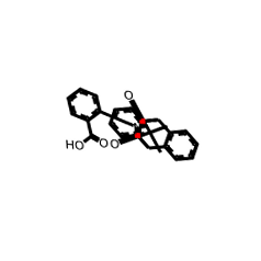 O=C(O)c1ccccc1N1C(=O)C2C3c4ccccc4C(c4ccccc43)C2C1=O